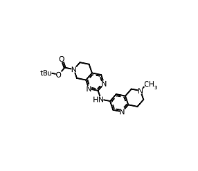 CN1CCc2ncc(Nc3ncc4c(n3)CN(C(=O)OC(C)(C)C)CC4)cc2C1